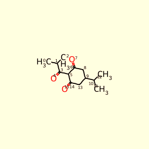 CC(C)C(=O)C1C(=O)CC(C(C)C)CC1=O